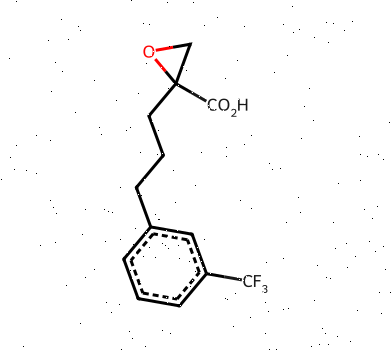 O=C(O)C1(CCCc2cccc(C(F)(F)F)c2)CO1